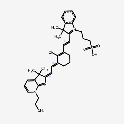 CCCN1C=CC=C2C1=N/C(=C/C=C1\CCCC(/C=C/C3=[N+](CCCS(=O)(=O)O)c4ccccc4C3(C)C)=C1Cl)C2(C)C